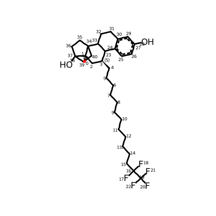 C[C@]12C[C@H](CCCCCCCCC[CH]CCC(F)(F)C(F)(F)F)C3c4ccc(O)cc4CCC3C13CCC2(O)CC3